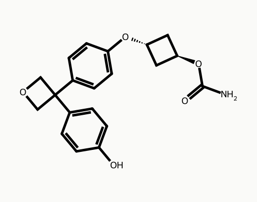 NC(=O)O[C@H]1C[C@H](Oc2ccc(C3(c4ccc(O)cc4)COC3)cc2)C1